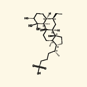 CC[C@H]1C[C@H]2[C@@H]3CC[C@H]([C@H](C)CCCS(=O)(=O)O)[C@@]3(C)CC[C@@H]2[C@]2(C)[C@H]1CCC(O)C2(O)O